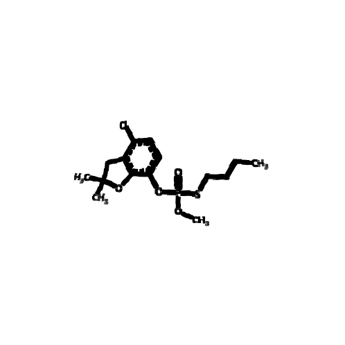 CCCCSP(=O)(OC)Oc1ccc(Cl)c2c1OC(C)(C)C2